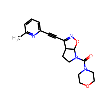 Cc1cccc(C#CC2=NOC3C2CCN3C(=O)N2CCOCC2)n1